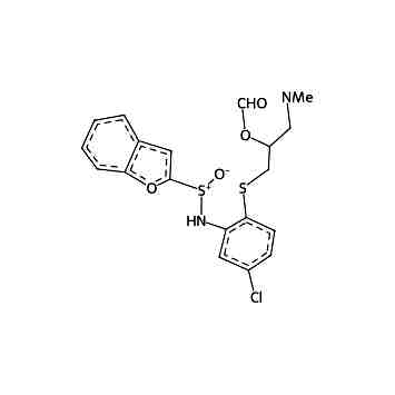 CNCC(CSc1ccc(Cl)cc1N[S+]([O-])c1cc2ccccc2o1)OC=O